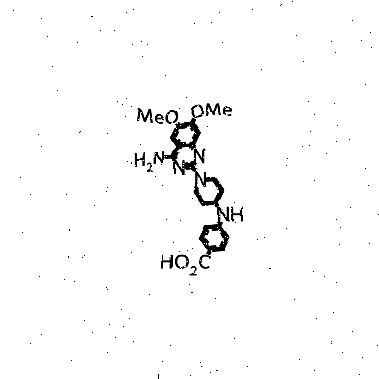 COc1cc2nc(N3CCC(Nc4ccc(C(=O)O)cc4)CC3)nc(N)c2cc1OC